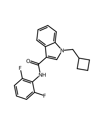 O=C(Nc1c(F)cccc1F)c1cn(CC2CCC2)c2ccccc12